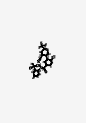 CN(C(=O)c1ccc(Cl)c(-c2cnc(C(F)(F)F)cc2C#N)c1)c1ccccc1S(C)(=O)=O